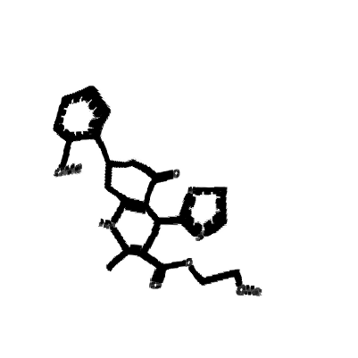 COCCOC(=O)C1=C(C)NC2=C(C(=O)CC(c3ccccc3OC)C2)C1c1nccs1